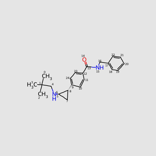 CC(C)(C)CN[C@@H]1C[C@H]1c1ccc(C(=O)NCc2ccccc2)cc1